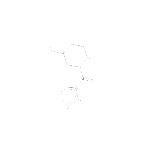 CCC1CCCN(C(=O)c2ccoc2)C1